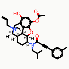 C=CCN1CC[C@]23c4c5c(O)cc(OC(C)=O)c4O[C@H]2[C@@H](N(CC(C)C)C(=O)C#Cc2cccc(C)c2)CC[C@H]3[C@H]1C5